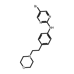 Brc1cnc(Nc2ccc(CCN3CCOCC3)cc2)nc1